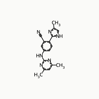 Cc1cc(C)nc(Nc2ccc(-c3nc(C)c[nH]3)c(C#N)c2)n1